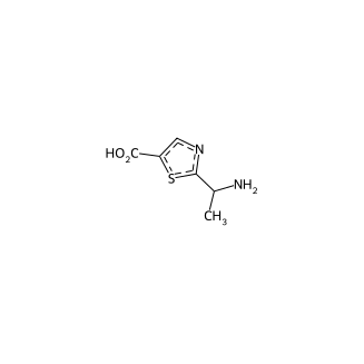 CC(N)c1ncc(C(=O)O)s1